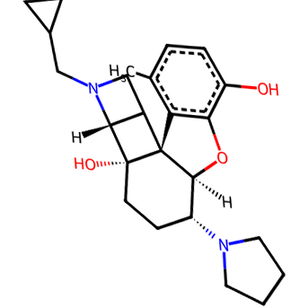 Cc1ccc(O)c2c1[C@]13C4CN(CC5CC5)[C@H]4[C@]1(O)CC[C@@H](N1CCCC1)[C@@H]3O2